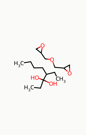 C(OCC1CO1)C1CO1.CCCCC(CC)C(O)(O)CC